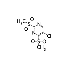 CS(=O)(=O)c1ncc(Cl)c(S(C)(=O)=O)n1